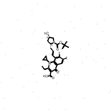 CCc1c(C(=O)O)c(=O)c2cc(F)c(F)c(C=CC[C@@H]3C[C@@H](O)CN3C(=O)OC(C)(C)C)c2n1C1CC1